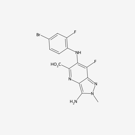 Cn1nc2c(F)c(Nc3ccc(Br)cc3F)c(C(=O)O)nc2c1N